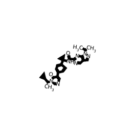 CC(C)n1ncc2cnc(C(=O)NC3(c4ccc(-c5cncn([C@H](C)C6CC6)c5=O)cc4)CC3)nc21